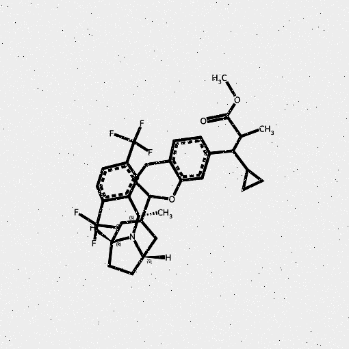 COC(=O)C(C)C(c1ccc2c(c1)OC(C1C[C@H]3CC[C@@H](C1)N3[C@@H](C)c1cc(C(F)(F)F)ccc1C(F)(F)F)CC2)C1CC1